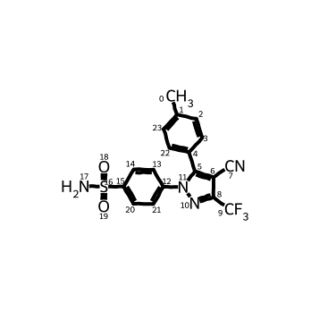 Cc1ccc(-c2c(C#N)c(C(F)(F)F)nn2-c2ccc(S(N)(=O)=O)cc2)cc1